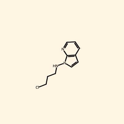 ClCCCNn1ccc2[c]ccnc21